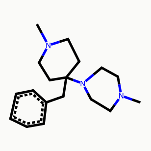 CN1CCN(C2(Cc3ccccc3)CCN(C)CC2)CC1